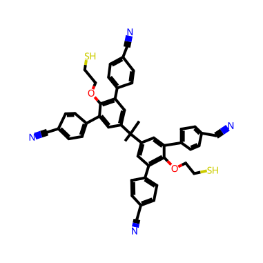 CC(C)(c1cc(-c2ccc(C#N)cc2)c(OCCS)c(-c2ccc(C#N)cc2)c1)c1cc(-c2ccc(C#N)cc2)c(OCCS)c(-c2ccc(C#N)cc2)c1